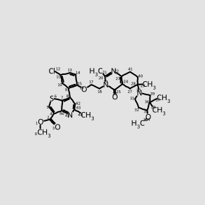 COC(=O)c1csc2c(-c3cc(Cl)ccc3OCCn3c(C)nc4c(c3=O)CC(C)(N3CCC(OC)C(C)(C)C3)CC4)cc(C)nc12